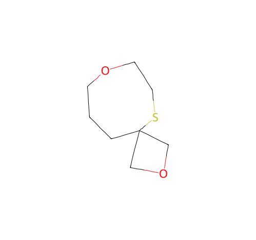 C1COCCSC2(C1)COC2